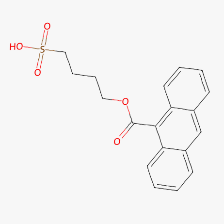 O=C(OCCCCS(=O)(=O)O)c1c2ccccc2cc2ccccc12